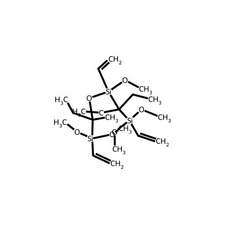 C=C[Si](OC)(OC)C(C)(CC)O[Si](C=C)(OC)C(CC)(CC)[Si](C=C)(OC)OC